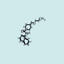 CCCOCC1CCN(C(=O)Nc2cccc3ccccc23)CC1